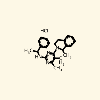 Cc1nc(NC(C)c2ccccc2)nc(N2CCc3ccccc3C2C)c1C.Cl